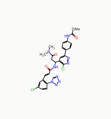 COC(=O)Nc1ccc(-c2cc(C(CC(=O)N(C)C)NC(=O)C=Cc3cc(Cl)ccc3-n3cnnn3)c(Cl)nn2)cc1